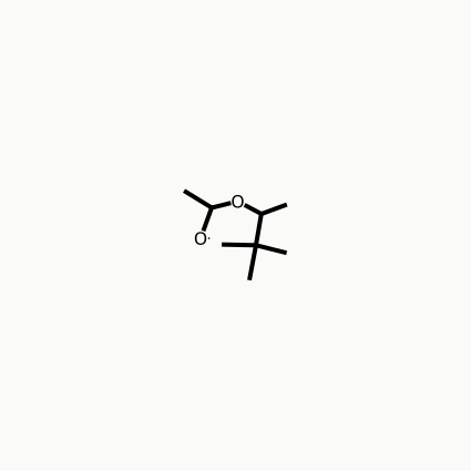 CC([O])OC(C)C(C)(C)C